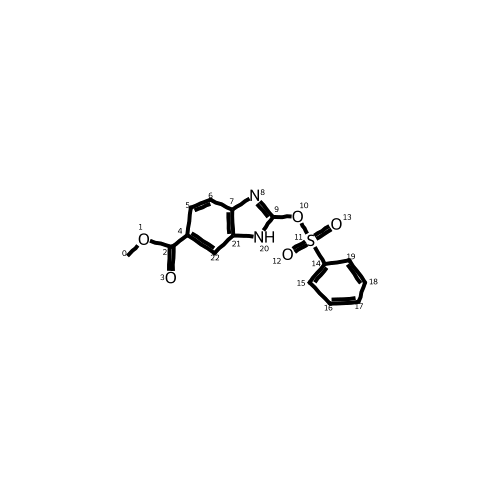 COC(=O)c1ccc2nc(OS(=O)(=O)c3ccccc3)[nH]c2c1